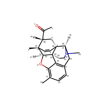 CC(=O)[C@@H]1C[C@@]23C=C[C@]1(C)[C@@H]1Oc4c(C)ccc5c4[C@@]12CCN(C)[C@@H]3C5